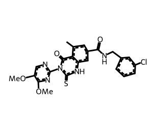 COc1cnc(-n2c(=S)[nH]c3cc(C(=O)NCc4cccc(Cl)c4)cc(C)c3c2=O)nc1OC